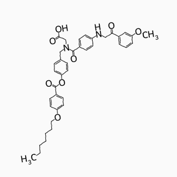 CCCCCCCOc1ccc(C(=O)Oc2ccc(CN(CC(=O)O)C(=O)c3ccc(NCC(=O)c4cccc(OC)c4)cc3)cc2)cc1